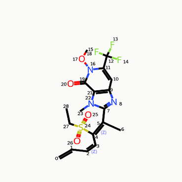 C=C/C=C\C(=C(/C)c1nc2cc(C(F)(F)F)n(OC)c(=O)c2n1C)S(=O)(=O)CC